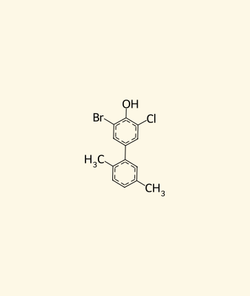 Cc1ccc(C)c(-c2cc(Cl)c(O)c(Br)c2)c1